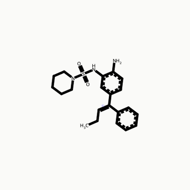 CC/C=C(\c1ccccc1)c1ccc(N)c(NS(=O)(=O)N2CCCCC2)c1